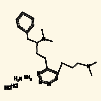 CN(C)CCCc1cnnnc1CCC(Cc1ccccc1)N(C)C.Cl.Cl.N.N